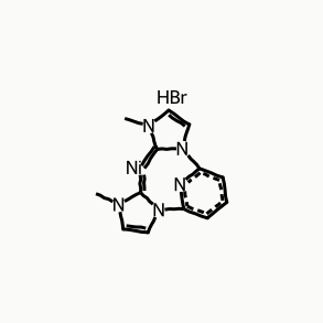 Br.CN1C=CN2[C]1=[Ni]=[C]1N(C)C=CN1c1cccc2n1